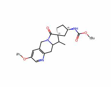 CC(C)Oc1cnc2c(c1)CN1C(=O)[C@]3(CC[C@@H](NC(=O)OC(C)(C)C)C3)C(C)C1C2